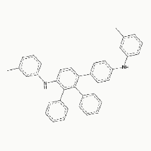 Cc1cccc(Nc2ccc(-c3ccc(Nc4cccc(C)c4)c(-c4ccccc4)c3-c3ccccc3)cc2)c1